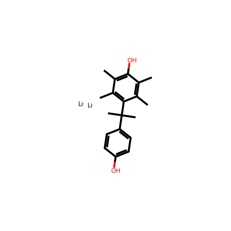 Cc1c(C)c(C(C)(C)c2ccc(O)cc2)c(C)c(C)c1O.[Li].[Li]